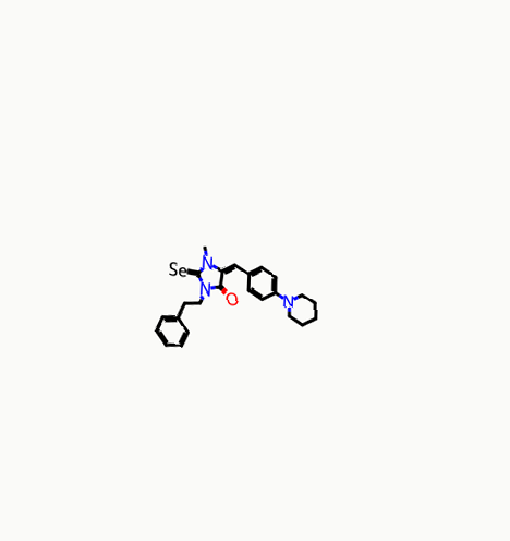 CN1C(=[Se])N(CCc2ccccc2)C(=O)C1=Cc1ccc(N2CCCCC2)cc1